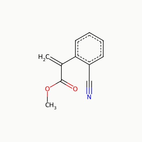 C=C(C(=O)OC)c1ccccc1C#N